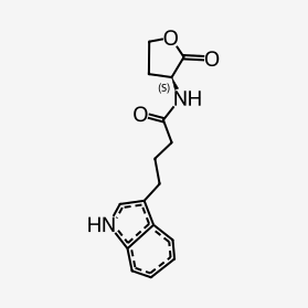 O=C(CCCc1c[nH]c2ccccc12)N[C@H]1CCOC1=O